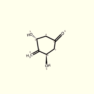 C=C1[C@H](O)CC(=O)C[C@H]1O